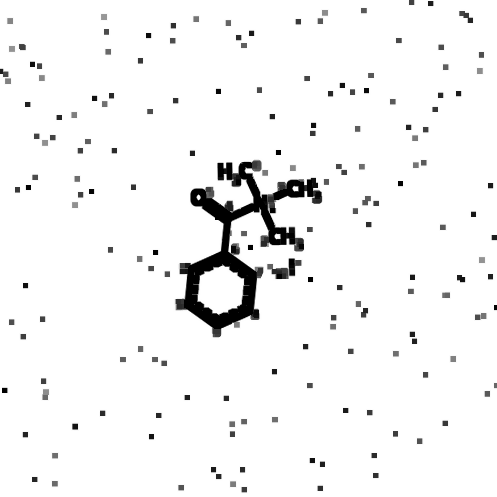 C[N+](C)(C)C(=O)c1ccccc1.[I-]